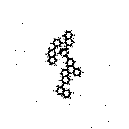 c1ccc(-c2ccc(-c3nc(-c4ccc5ccccc5c4)nc(-c4c(-c5ccccc5)ccc5ccccc45)n3)cc2-c2ccc3cc(-c4cccc5ccccc45)ccc3c2)cc1